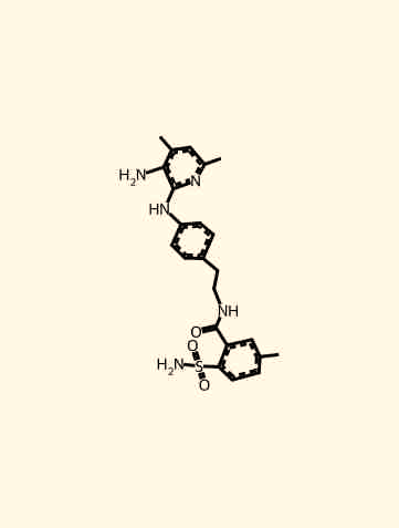 Cc1ccc(S(N)(=O)=O)c(C(=O)NCCc2ccc(Nc3nc(C)cc(C)c3N)cc2)c1